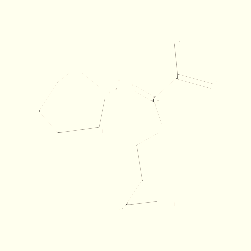 C1CCOOC1.C=C(C)C(=O)OCC1CO1